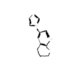 c1cn(-c2cnc3c(c2)CCCN3)cn1